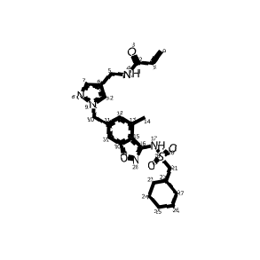 C=CC(=O)NCc1cnn(Cc2cc(C)c3c(NS(=O)(=O)CC4CCCCC4)noc3c2)c1